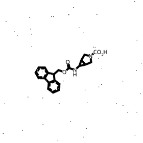 O=C(NC1C2CN(C(=O)O)CC21)OCC1c2ccccc2-c2ccccc21